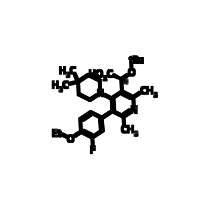 CCOc1ccc(-c2c(C)nc(C)c([C@H](OC(C)(C)C)C(=O)O)c2N2CCC(C)(C)CC2)cc1F